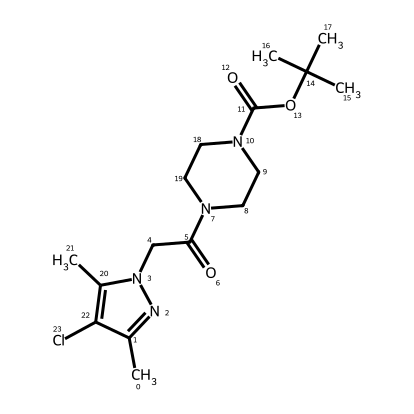 Cc1nn(CC(=O)N2CCN(C(=O)OC(C)(C)C)CC2)c(C)c1Cl